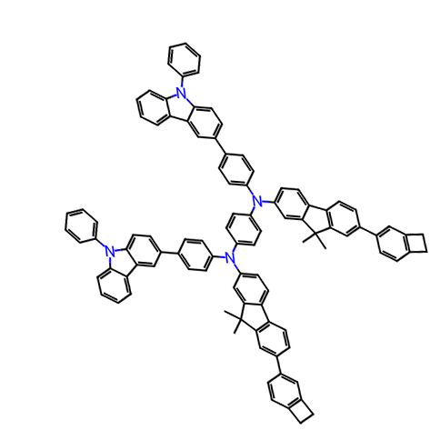 CC1(C)c2cc(-c3ccc4c(c3)CC4)ccc2-c2ccc(N(c3ccc(-c4ccc5c(c4)c4ccccc4n5-c4ccccc4)cc3)c3ccc(N(c4ccc(-c5ccc6c(c5)c5ccccc5n6-c5ccccc5)cc4)c4ccc5c(c4)C(C)(C)c4cc(-c6ccc7c(c6)CC7)ccc4-5)cc3)cc21